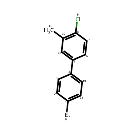 CCc1ccc(-c2ccc(Cl)c(C)c2)cc1